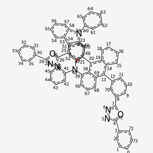 c1ccc(-c2nnc(-c3cccc(-c4c5ccccc5c(-c5cccc(-c6nnc(-c7ccccc7)o6)c5)c5c(N(c6ccccc6)c6ccc7c(c6)c6ccccc6n7-c6ccccc6)cccc45)c3)o2)cc1